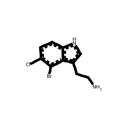 NCCc1c[nH]c2ccc(Cl)c(Br)c12